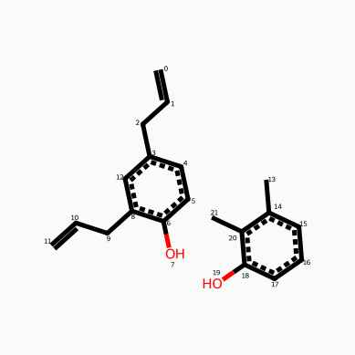 C=CCc1ccc(O)c(CC=C)c1.Cc1cccc(O)c1C